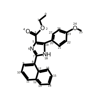 CCOC(=O)c1nc(-c2cccc3ccccc23)[nH]c1-c1ccc(OC)cc1